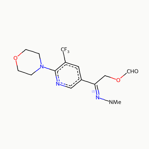 CN/N=C(\COC=O)c1cnc(N2CCOCC2)c(C(F)(F)F)c1